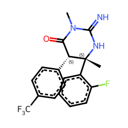 CN1C(=N)N[C@](C)(c2ccccc2F)[C@H](c2ccc(C(F)(F)F)cc2)C1=O